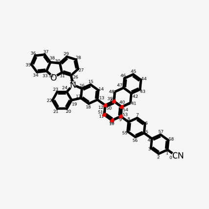 N#Cc1ccc(-c2ccc(-c3ccc(-c4ccc5c(c4)c4ccccc4n5-c4cccc5c4oc4ccccc45)c4c3C3c5ccccc5C4c4ccccc43)cc2)cc1